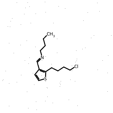 CCCCN=Cc1ccsc1CCCCCl